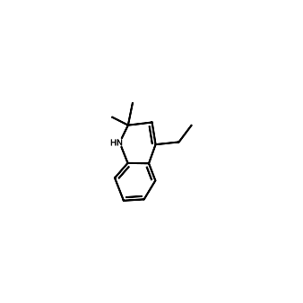 CCC1=CC(C)(C)Nc2ccccc21